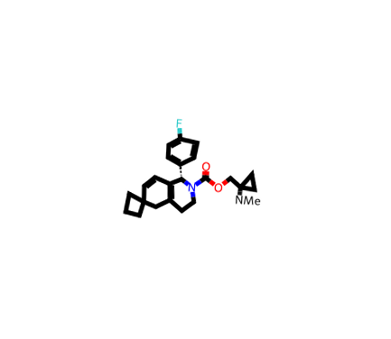 CNC1(COC(=O)N2CCC3=C(C=CC4(CCC4)C3)[C@@H]2c2ccc(F)cc2)CC1